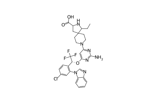 CCC1NC(C(=O)O)CC12CCN(c1cc(O[C@H](c3ccc(Cl)cc3-n3cnc4ccccc43)C(F)(F)F)nc(N)n1)CC2